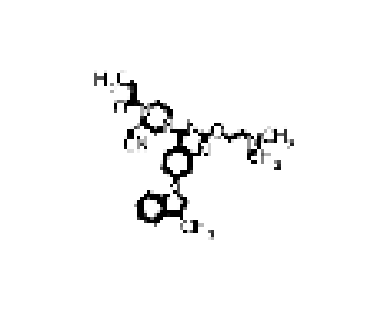 C=CC(=O)N1CCN(c2nc(OCCN(C)C)nc3c2CCC(N2CC(C)c4ccccc42)C3)C[C@@H]1CC#N